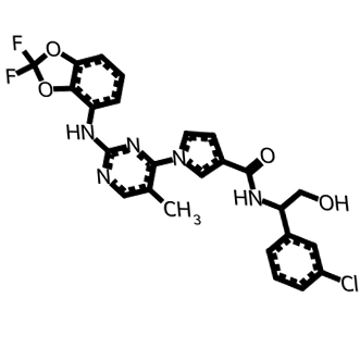 Cc1cnc(Nc2cccc3c2OC(F)(F)O3)nc1-n1ccc(C(=O)NC(CO)c2cccc(Cl)c2)c1